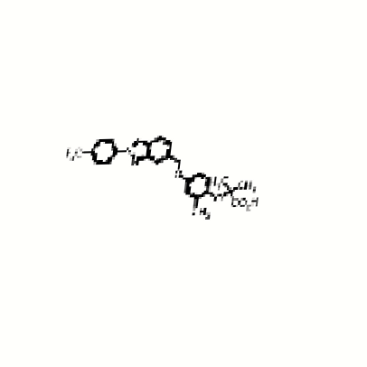 Cc1cc(OCc2ccc3cn(-c4ccc(C(F)(F)F)cc4)nc3c2)ccc1OC(C)(C)C(=O)O